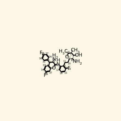 C[C@H](CO)[C@H](C)O[C@@H](CN)CCc1c(F)cccc1NC(=O)[C@@H](N)C(c1ccc(F)cc1)c1ccc(F)cc1